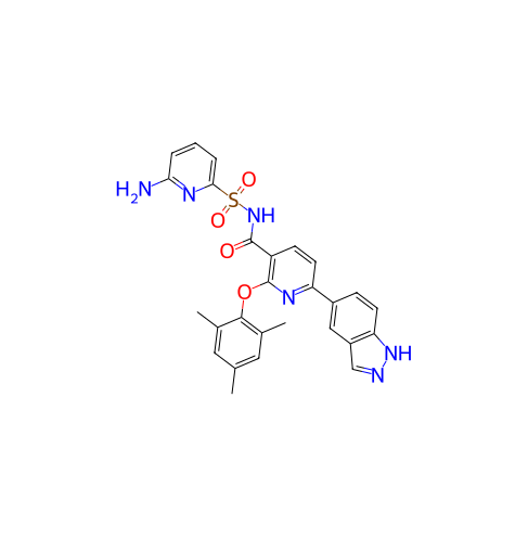 Cc1cc(C)c(Oc2nc(-c3ccc4[nH]ncc4c3)ccc2C(=O)NS(=O)(=O)c2cccc(N)n2)c(C)c1